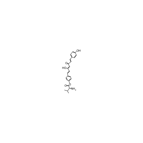 CC(C)[C@H](N)C(=O)Oc1ccc(C=CC(O)=CC(=O)C=Cc2ccc(O)cc2)cc1